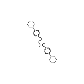 CC(COc1ccc(C2CCCCC2)cc1)Oc1ccc(C2CCCCC2)cc1